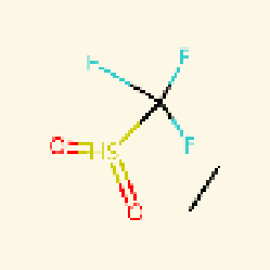 CC.O=[SH](=O)C(F)(F)F